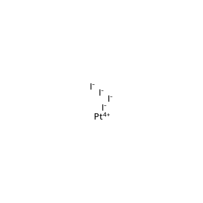 [I-].[I-].[I-].[I-].[Pt+4]